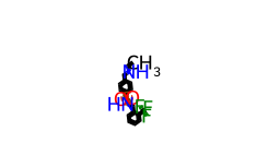 CCNCc1ccc(S(=O)(=O)NCc2ccccc2C(F)(F)F)cc1